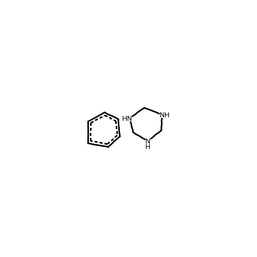 C1NCNCN1.c1ccccc1